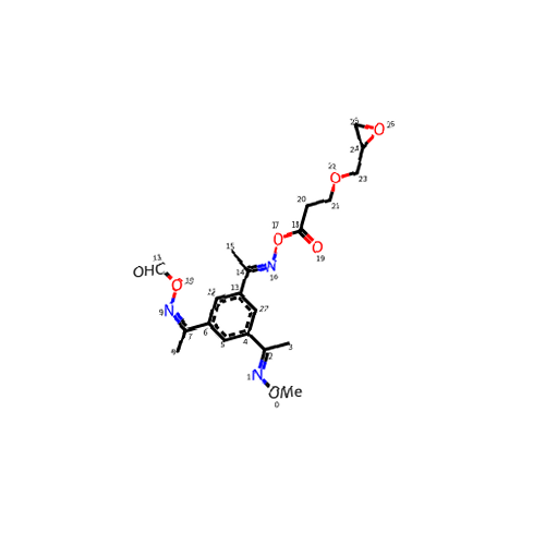 CO/N=C(\C)c1cc(/C(C)=N\OC=O)cc(/C(C)=N/OC(=O)CCOCC2CO2)c1